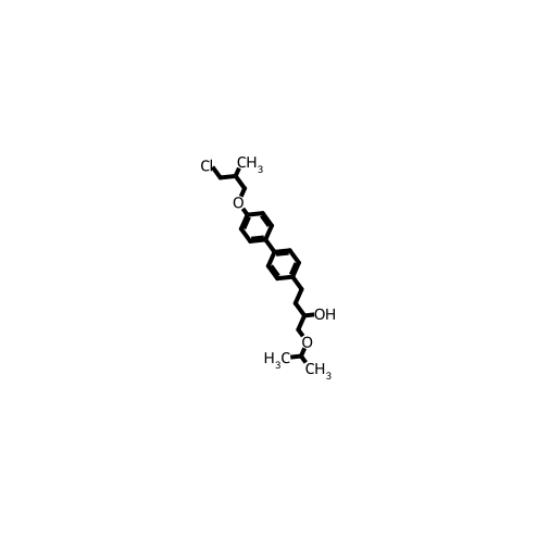 CC(CCl)COc1ccc(-c2ccc(CCC(O)COC(C)C)cc2)cc1